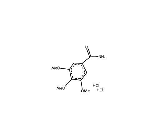 COc1cc(C(N)=O)cc(OC)c1OC.Cl.Cl